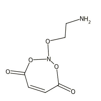 NCCON1OC(=O)C=CC(=O)O1